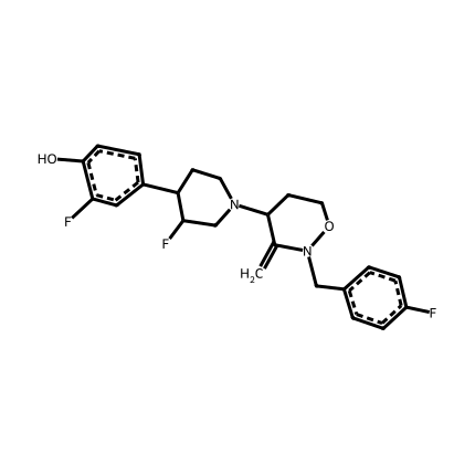 C=C1C(N2CCC(c3ccc(O)c(F)c3)C(F)C2)CCON1Cc1ccc(F)cc1